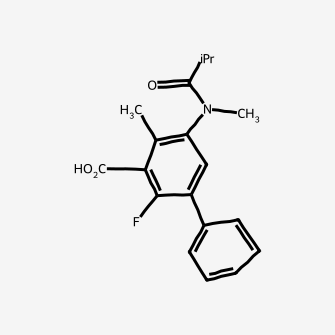 Cc1c(N(C)C(=O)C(C)C)cc(-c2ccccc2)c(F)c1C(=O)O